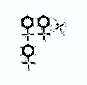 C[P+](C)(C)c1ccccc1.C[P+](C)(C)c1ccccc1.C[P+](C)(C)c1ccccc1.O=P([O-])([O-])[O-]